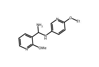 CCOc1ccc(NC(N)c2cccnc2OC)cn1